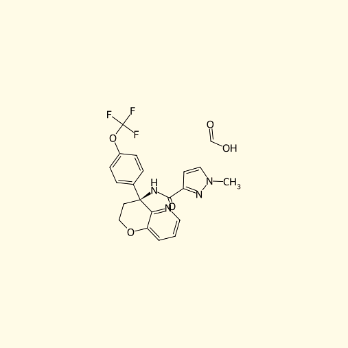 Cn1ccc(C(=O)N[C@]2(c3ccc(OC(F)(F)F)cc3)CCOc3cccnc32)n1.O=CO